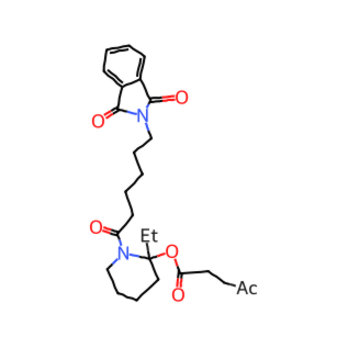 CCC1(OC(=O)CCC(C)=O)CCCCN1C(=O)CCCCCN1C(=O)c2ccccc2C1=O